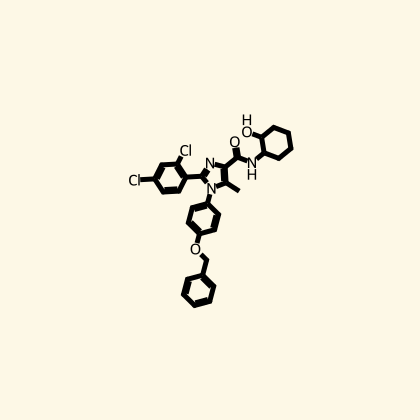 Cc1c(C(=O)NC2CCCCC2O)nc(-c2ccc(Cl)cc2Cl)n1-c1ccc(OCc2ccccc2)cc1